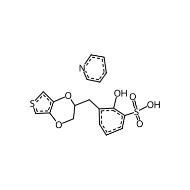 O=S(=O)(O)c1cccc(CC2COc3cscc3O2)c1O.c1ccncc1